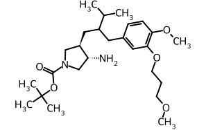 COCCCOc1cc(CC(C[C@@H]2CN(C(=O)OC(C)(C)C)C[C@H]2N)C(C)C)ccc1OC